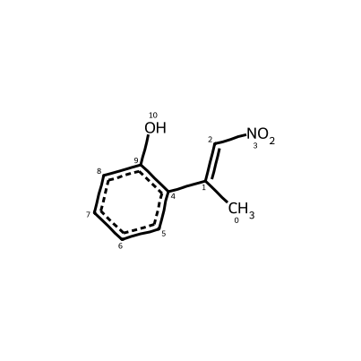 CC(=C[N+](=O)[O-])c1ccccc1O